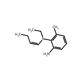 CC/C=C\N(CC)c1c(C)cccc1N